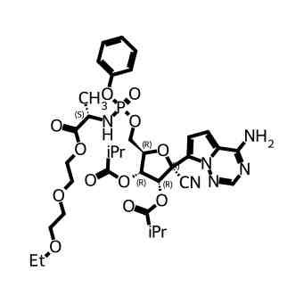 CCOCCOCCOC(=O)[C@H](C)NP(=O)(OC[C@H]1O[C@@](C#N)(c2ccc3c(N)ncnn23)[C@H](OC(=O)C(C)C)[C@@H]1OC(=O)C(C)C)Oc1ccccc1